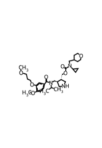 COCCCOc1cc(C(=O)N(C[C@@H]2CNC[C@H]2COC(=O)N(CC2CCOCC2)C2CC2)C(C)C)ccc1OC